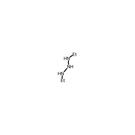 CCNNNCC